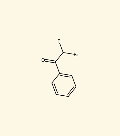 O=C(c1ccccc1)C(F)Br